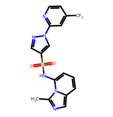 Cc1ncc2cccc(NS(=O)(=O)c3cnn(-c4cc(C(F)(F)F)ccn4)c3)n12